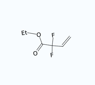 C=CC(F)(F)C(=O)OCC